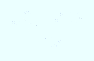 CN(C)C(=O)Oc1ccc(Cl)c2c1CN(Nc1ccncc1)C2.Cl